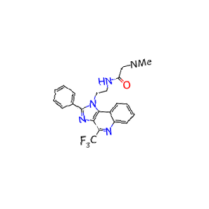 CNCC(=O)NCCn1c(-c2ccccc2)nc2c(C(F)(F)F)nc3ccccc3c21